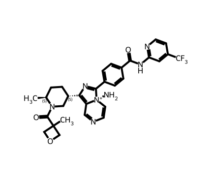 C[C@H]1CC[C@H](C2=C3C=NC=C[N+]3(N)C(c3ccc(C(=O)Nc4cc(C(F)(F)F)ccn4)cc3)=N2)CN1C(=O)C1(C)COC1